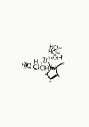 CC1=[C]([Zr])CC=C1.Cl.Cl.Cl.Cl.Cl.Cl.[Zr]